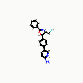 Nc1ccc(-c2ccc(C3OC(c4ccccc4)=NC3CF)cc2)cn1